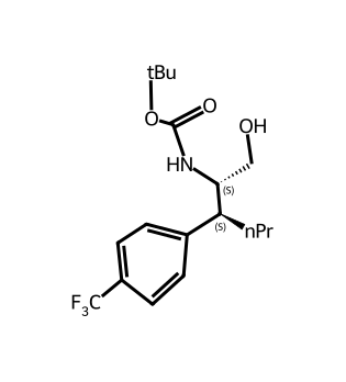 CCC[C@@H](c1ccc(C(F)(F)F)cc1)[C@@H](CO)NC(=O)OC(C)(C)C